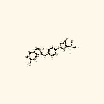 Cn1cc(-c2ccc(Cn3ncc4cnc(Cl)nc43)cc2)nc1C(F)(F)F